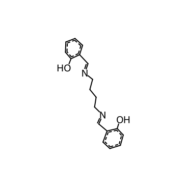 Oc1ccccc1/C=N/CCCC/N=C/c1ccccc1O